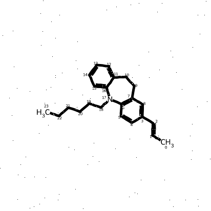 C/C=C/c1ccc2c(c1)CCc1ccccc1N2CCCCCC